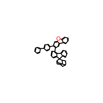 c1ccc(-c2ccc(-c3cc4oc5ccccc5c4cc3-c3cccc4c3-c3ccccc3C43C4CC5CC(C4)CC3C5)cc2)cc1